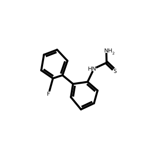 NC(=S)Nc1ccccc1-c1ccccc1F